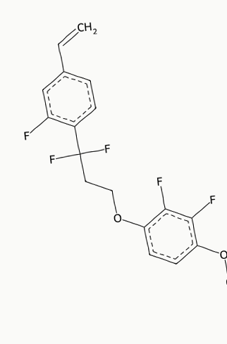 C=Cc1ccc(C(F)(F)CCOc2ccc(OC)c(F)c2F)c(F)c1